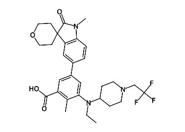 CCN(c1cc(-c2ccc3c(c2)C2(CCOCC2)C(=O)N3C)cc(C(=O)O)c1C)C1CCN(CC(F)(F)F)CC1